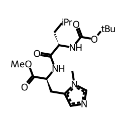 COC(=O)[C@H](Cc1cncn1C)NC(=O)[C@H](CC(C)C)NC(=O)OC(C)(C)C